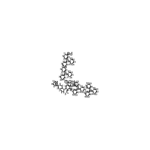 Cc1c(Cc2ccc(-n3cccn3)cc2)cc(C(=O)O)c(O)c1F.[Pd].c1ccc(P(c2ccccc2)c2ccccc2)cc1.c1ccc(P(c2ccccc2)c2ccccc2)cc1.c1ccc(P(c2ccccc2)c2ccccc2)cc1.c1ccc(P(c2ccccc2)c2ccccc2)cc1